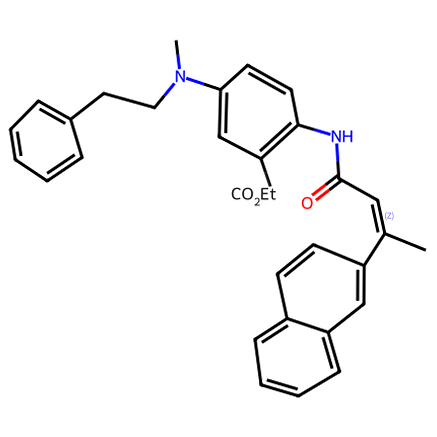 CCOC(=O)c1cc(N(C)CCc2ccccc2)ccc1NC(=O)/C=C(/C)c1ccc2ccccc2c1